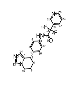 O=C(Nc1ccc([C@@H]2CCCn3cncc32)cc1)C(F)(F)c1cccnc1